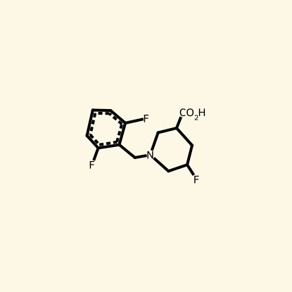 O=C(O)C1CC(F)CN(Cc2c(F)cccc2F)C1